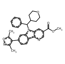 COC(=O)c1cnc2c3ccc(-c4c(C)noc4C)cc3n(C(c3ccccc3)C3CCOCC3)c2c1